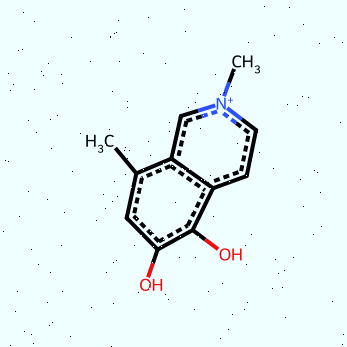 Cc1cc(O)c(O)c2cc[n+](C)cc12